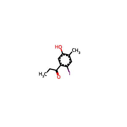 CCC(=O)c1cc(O)c(C)cc1I